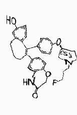 O=C1COc2ccc(C3=C(c4ccc(O[C@H]5CCN(CCCF)C5)cc4)c4ccc(O)cc4CCC3)cc2N1